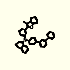 Cc1c(-c2cccc(N(c3ccc(-c4cccc(-c5ccccc5)c4)cc3)c3cccc4ccccc34)c2)oc2ccccc12